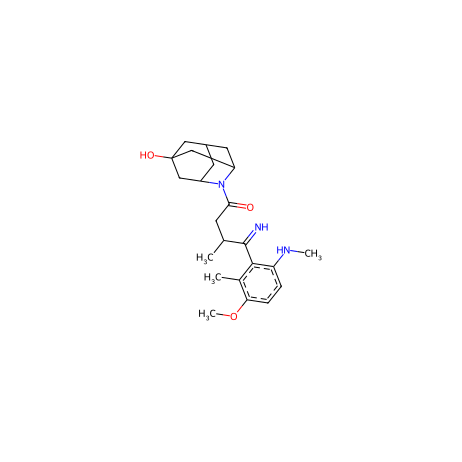 CNc1ccc(OC)c(C)c1C(=N)C(C)CC(=O)N1C2CC3CC1CC(O)(C3)C2